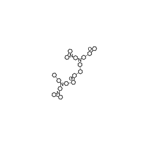 c1ccc(-c2ccc(N(c3ccc(-c4cccc5c4oc4ccc(-c6cccc(-c7ccc(N(c8ccc(-c9ccc%10c(c9)oc9ccccc9%10)cc8)c8ccc(-n9c%10ccccc%10c%10ccccc%109)cc8)cc7)c6)cc45)cc3)c3ccc(-n4c5ccccc5c5ccccc54)cc3)cc2)cc1